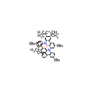 CC(C)(C)c1ccc(N2B3c4c(cc(C(C)(C)C)cc4N(c4ccc(C(C)(C)C)cc4-c4ccccc4)c4ccc5c(c43)-c3ccccc3C5(C)C)-c3cc4c(cc32)C(C)(C)CCC4(C)C)cc1